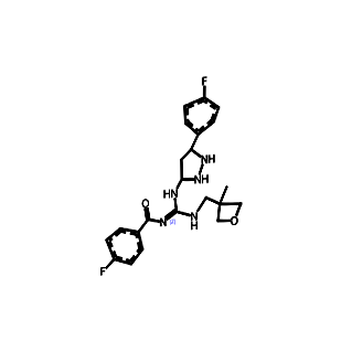 CC1(CN/C(=N/C(=O)c2ccc(F)cc2)NC2CC(c3ccc(F)cc3)NN2)COC1